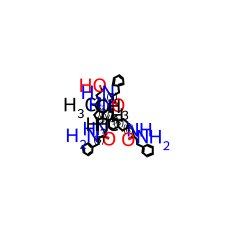 CC(CCCO)C1CC[C@H]2C3C(NC(=O)[C@@H](N)Cc4ccccc4)CC4C[C@H](NC(=O)C(N)Cc5ccccc5)CC[C@]4(C)[C@H]3CC(NC(=O)[C@@H](N)Cc3ccccc3)[C@]12C